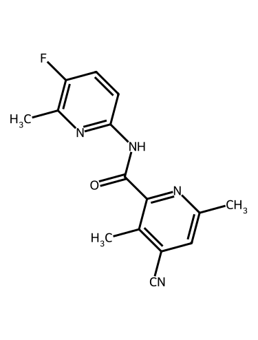 Cc1cc(C#N)c(C)c(C(=O)Nc2ccc(F)c(C)n2)n1